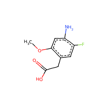 COc1cc(N)c(F)cc1CC(=O)O